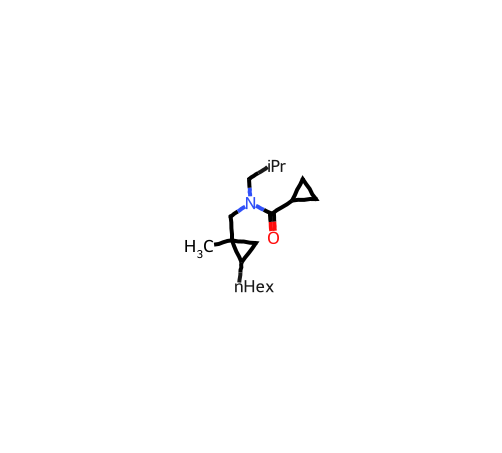 CCCCCCC1CC1(C)CN(CC(C)C)C(=O)C1CC1